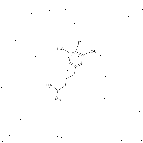 Cc1cc(CCCC(C)N)cc(C)c1F